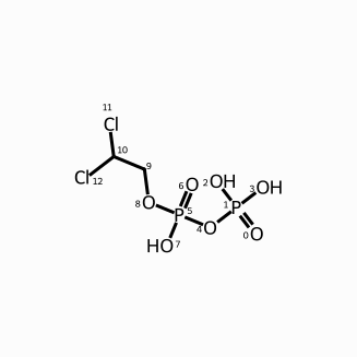 O=P(O)(O)OP(=O)(O)OCC(Cl)Cl